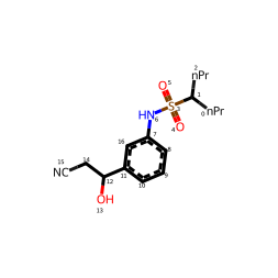 CCCC(CCC)S(=O)(=O)Nc1cccc(C(O)CC#N)c1